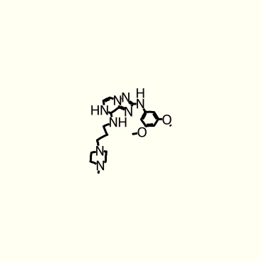 COc1cc(Nc2nc3n(n2)C=CNC3NCCCN2CCN(C)CC2)cc(OC)c1